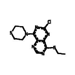 CCSc1ncnc2c(N3CCSCC3)nc(Cl)nc12